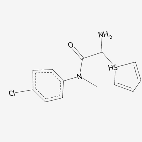 CN(C(=O)C(N)[SH]1C=CC=C1)c1ccc(Cl)cc1